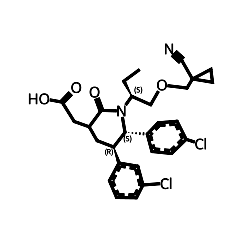 CC[C@@H](COCC1(C#N)CC1)N1C(=O)C(CC(=O)O)C[C@H](c2cccc(Cl)c2)[C@H]1c1ccc(Cl)cc1